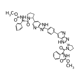 COC(=O)N[C@@H](C(=O)N1CCCC1c1cnc2nc(-c3ccc(-c4cnc5nc([C@@H]6CCCN6C(=O)[C@H](NC(=O)OC)c6ccccc6)[nH]c5c4)cc3)[nH]c2c1)c1ccccc1